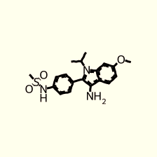 COc1ccc2c(N)c(-c3ccc(NS(C)(=O)=O)cc3)n(C(C)C)c2c1